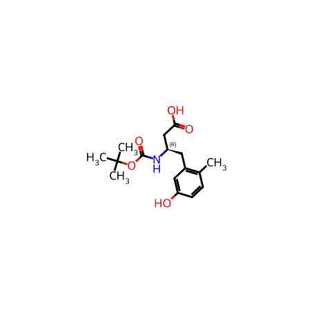 Cc1ccc(O)cc1C[C@H](CC(=O)O)NC(=O)OC(C)(C)C